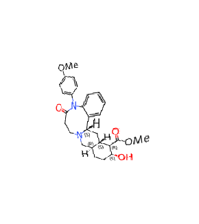 COC(=O)[C@@H]1[C@H]2C[C@H]3c4ccccc4N(c4ccc(OC)cc4)C(=O)CCN3C[C@@H]2CC[C@@H]1O